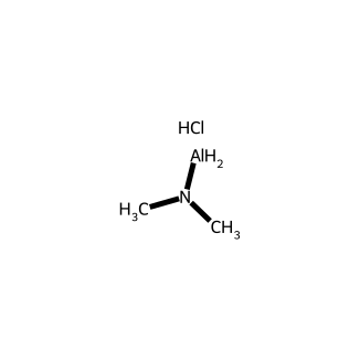 C[N](C)[AlH2].Cl